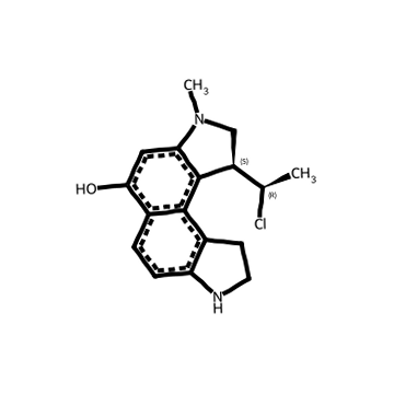 C[C@@H](Cl)[C@@H]1CN(C)c2cc(O)c3ccc4c(c3c21)CCN4